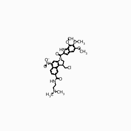 COc1cc2cc(C(=O)N3CC(CCl)c4c3cc([N+](=O)[O-])c3ccc(C(=O)NCCN(C)C)cc43)[nH]c2c(OC)c1OC